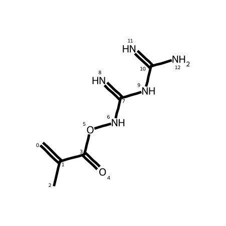 C=C(C)C(=O)ONC(=N)NC(=N)N